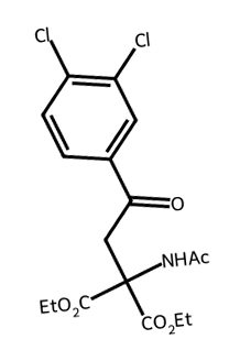 CCOC(=O)C(CC(=O)c1ccc(Cl)c(Cl)c1)(NC(C)=O)C(=O)OCC